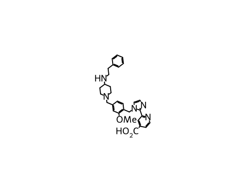 COc1cc(CN2CCC(NCCc3ccccc3)CC2)ccc1Cn1ccnc1-c1cc(C(=O)O)ccn1